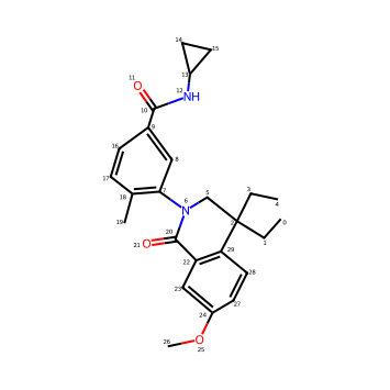 CCC1(CC)CN(c2cc(C(=O)NC3CC3)ccc2C)C(=O)c2cc(OC)ccc21